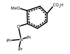 COc1cc(C(=O)O)ccc1O[Si](C(C)C)(C(C)C)C(C)C